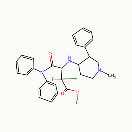 CN1CCC(NC(C(=O)N(c2ccccc2)c2ccccc2)C(F)(F)C(=O)OF)C(c2ccccc2)C1